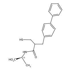 C[C@H](NC(=O)C(CS)Cc1ccc(-c2ccccc2)cc1)C(=O)O